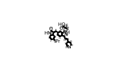 CC(C)c1ccc2c(c1)/C(=C\c1ccc3c(/C=C/c4ccncc4)n[nH]c3c1)C(=O)N2.O=C(O)C(F)(F)F